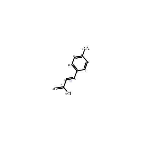 N#Cc1ccc(/C=C/C(=O)Cl)cc1